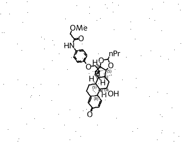 CCCC1O[C@@H]2C[C@H]3[C@@H]4CCC5=CC(=O)C=C[C@]5(C)[C@H]4[C@@H](O)C[C@]3(C)[C@]2(C(=O)COc2ccc(NC(=O)COC)cc2)O1